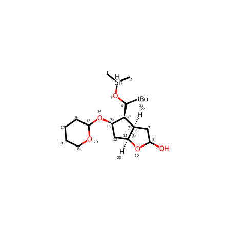 C[SiH](C)OC([C@H]1[C@H]2CC(O)O[C@H]2C[C@H]1OC1CCCCO1)C(C)(C)C